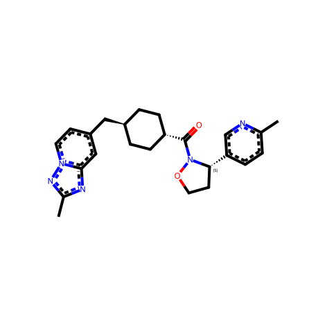 Cc1ccc([C@@H]2CCON2C(=O)[C@H]2CC[C@H](Cc3ccn4nc(C)nc4c3)CC2)cn1